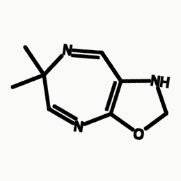 CC1(C)C=NC2=C(C=N1)NCO2